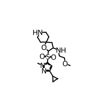 COCCNC1CC2(CCNCC2)OC1S(=O)(=O)c1cc(C2CC2)nn1C